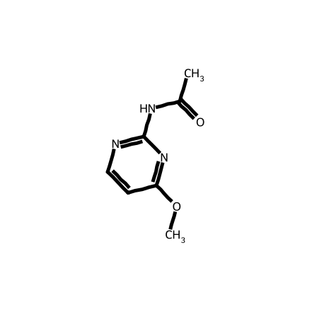 COc1ccnc(NC(C)=O)n1